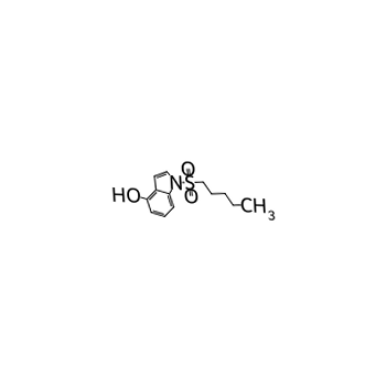 CCCCCS(=O)(=O)n1ccc2c(O)cccc21